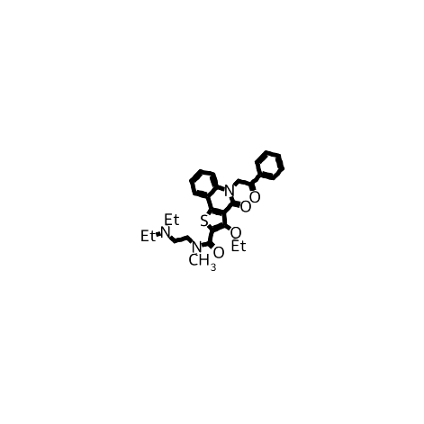 CCOc1c(C(=O)N(C)CCN(CC)CC)sc2c1c(=O)n(CC(=O)c1ccccc1)c1ccccc21